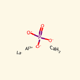 O=P([O-])([O-])[O-].[Al+3].[CaH2].[La]